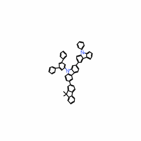 CC1(C)c2ccccc2-c2ccc(-c3ccc4c(c3)c3ccc(-c5ccc6c(c5)c5ccccc5n6-c5ccccc5)cc3n4-c3cc(-c4ccccc4)cc(-c4ccccc4)c3)cc21